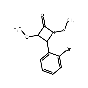 COC1C(=O)N(SC)C1c1ccccc1Br